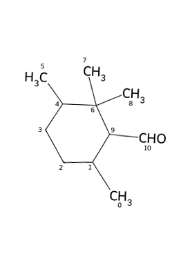 CC1CCC(C)C(C)(C)C1C=O